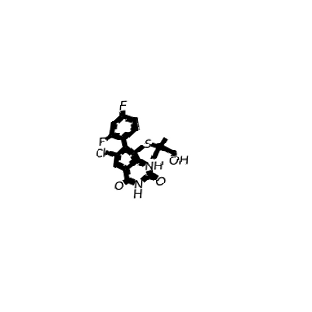 CC(C)(CO)Sc1c(-c2ccc(F)cc2F)c(Cl)cc2c(=O)[nH]c(=O)[nH]c12